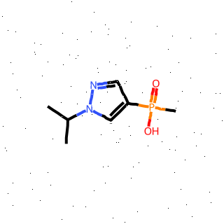 CC(C)n1cc(P(C)(=O)O)cn1